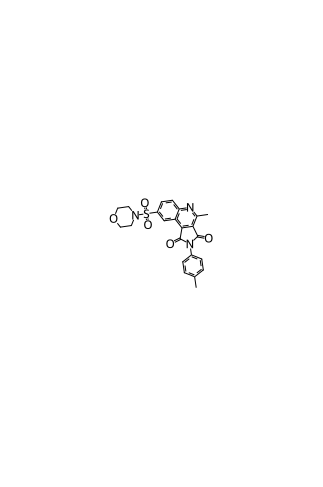 Cc1ccc(N2C(=O)c3c(C)nc4ccc(S(=O)(=O)N5CCOCC5)cc4c3C2=O)cc1